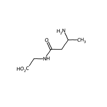 CC(N)CC(=O)NCC(=O)O